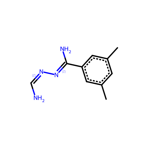 Cc1cc(C)cc(/C(N)=N/N=C\N)c1